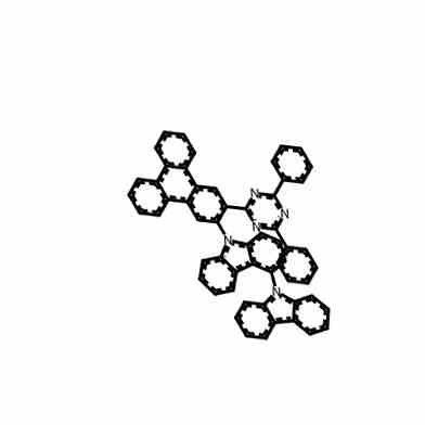 c1ccc(-c2nc(-c3ccccc3)nc(-c3cc4c5ccccc5c5ccccc5c4cc3-n3c4ccccc4c4c(-n5c6ccccc6c6ccccc65)cccc43)n2)cc1